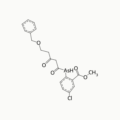 COC(=O)c1cc(Cl)ccc1[AsH]C(=O)CC(=O)CCOCc1ccccc1